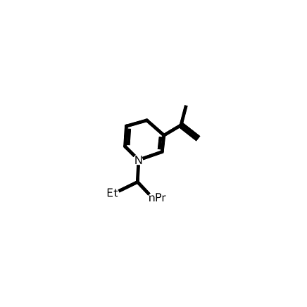 C=C(C)C1=CN(C(CC)CCC)C=CC1